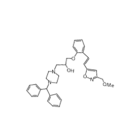 COCc1cc(C=Cc2ccccc2OCC(O)CN2CCN(C(c3ccccc3)c3ccccc3)CC2)on1